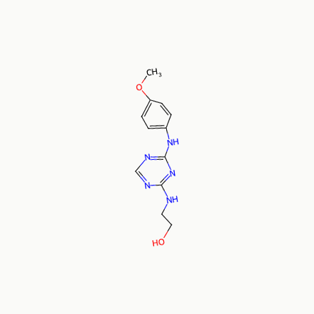 COc1ccc(Nc2ncnc(NCCO)n2)cc1